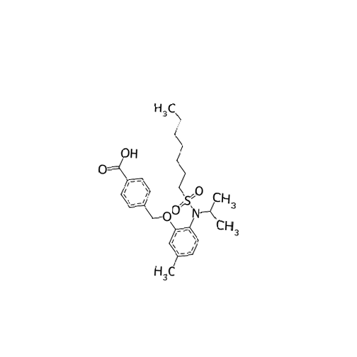 CCCCCCCS(=O)(=O)N(c1ccc(C)cc1OCc1ccc(C(=O)O)cc1)C(C)C